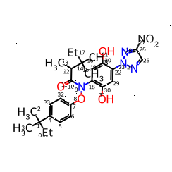 CCC(C)(C)c1ccc(ON(C(=O)C(C)C(C)(C)CC)c2cc(O)c(-n3ncc([N+](=O)[O-])n3)cc2O)cc1